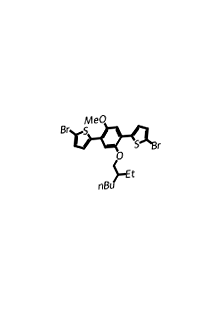 CCCCC(CC)COc1cc(-c2ccc(Br)s2)c(OC)cc1-c1ccc(Br)s1